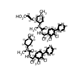 CN1CCC(N(C)C(=O)N[C@H](c2ccc(-c3cnccn3)c(Cl)c2Cl)C(F)(F)F)CC1.CN1CCC(N(C)C(=O)N[C@H](c2ccc(-c3cnccn3)c(Cl)c2Cl)C(F)(F)F)CC1.O=C(O)/C=C/C(=O)O